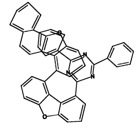 c1ccc(-c2nc(-c3ccccc3)nc(-c3cccc4oc5cccc(-c6cccc7oc8c9ccccc9ccc8c67)c5c34)n2)cc1